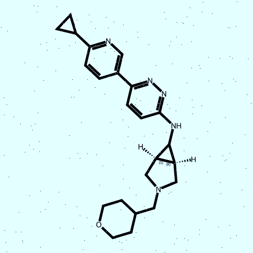 c1cc(C2CC2)ncc1-c1ccc(NC2[C@H]3CN(CC4CCOCC4)C[C@@H]23)nn1